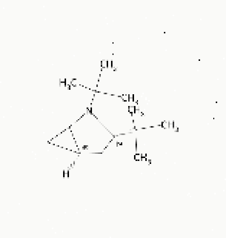 CC(C)(C)[C@@H]1C[C@H]2CC2N1C(C)(C)C